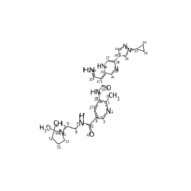 Cc1ncc(C(=O)NCCN2CCCC2(C)C)cc1NC(=O)/C(C=N)=C1\C=NC(c2cnn(C3CC3)c2)=CN1